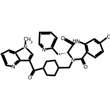 Cn1cc(C(=O)C2CCC(CN3C(=O)c4ccc(Cl)cc4NC(=O)[C@H]3Cc3ccccn3)CC2)c2ncccc21